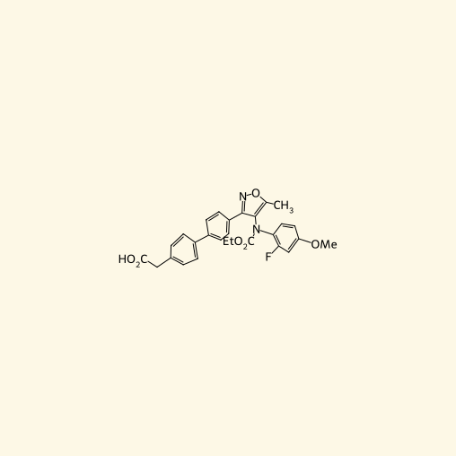 CCOC(=O)N(c1ccc(OC)cc1F)c1c(-c2ccc(-c3ccc(CC(=O)O)cc3)cc2)noc1C